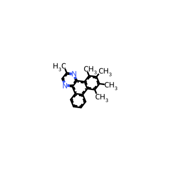 Cc1cnc2c3ccccc3c3c(C)c(C)c(C)c(C)c3c2n1